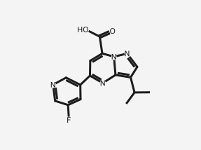 CC(C)c1cnn2c(C(=O)O)cc(-c3cncc(F)c3)nc12